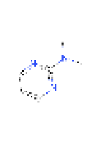 CN(C)[13c]1n[c]ccn1